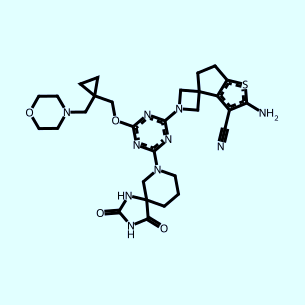 N#Cc1c(N)sc2c1C1(CC2)CN(c2nc(OCC3(CN4CCOCC4)CC3)nc(N3CCCC4(C3)NC(=O)NC4=O)n2)C1